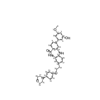 COc1cc(O)cc(-c2ccc3c(c2)Nc2ccc(CCOc4ccc(N5CCOCC5)cc4)cc2NC3=O)c1